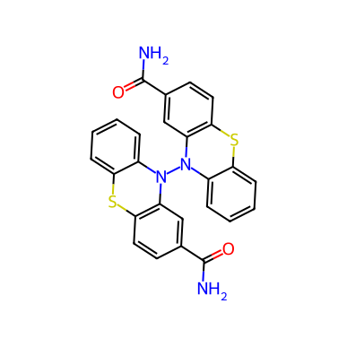 NC(=O)c1ccc2c(c1)N(N1c3ccccc3Sc3ccc(C(N)=O)cc31)c1ccccc1S2